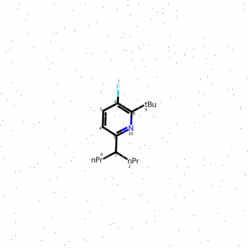 CCCC(CCC)c1ccc(F)c(C(C)(C)C)n1